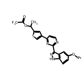 CC(C)Oc1ccc2[nH]nc(-c3nccc(-c4csc(C(C)OC(=O)C(F)(F)F)c4)n3)c2c1